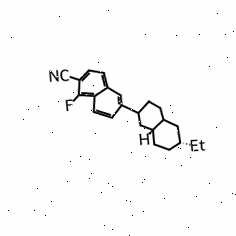 CC[C@@H]1CC[C@@H]2CC(c3ccc4c(F)c(C#N)ccc4c3)CCC2C1